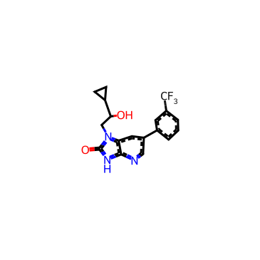 O=c1[nH]c2ncc(-c3cccc(C(F)(F)F)c3)cc2n1CC(O)C1CC1